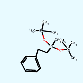 C[Si](C)(C)O[Si](C)(CCc1ccccc1)O[Si](C)(C)C